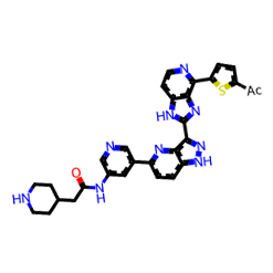 CC(=O)c1ccc(-c2nccc3[nH]c(-c4n[nH]c5ccc(-c6cncc(NC(=O)CC7CCNCC7)c6)nc45)nc23)s1